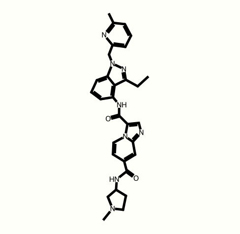 CCc1nn(Cc2cccc(C)n2)c2cccc(NC(=O)c3cnc4cc(C(=O)NC5CCN(C)C5)ccn34)c12